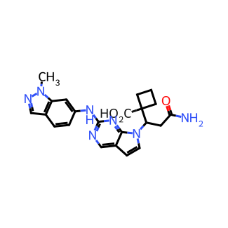 Cn1ncc2ccc(Nc3ncc4ccn(C(CC(N)=O)C5(C(=O)O)CCC5)c4n3)cc21